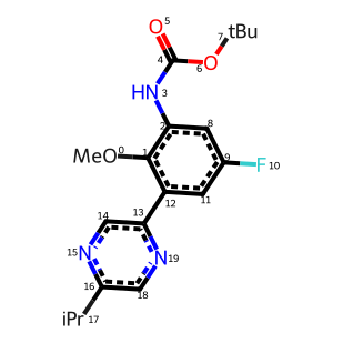 COc1c(NC(=O)OC(C)(C)C)cc(F)cc1-c1cnc(C(C)C)cn1